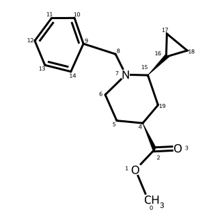 COC(=O)[C@H]1CCN(Cc2ccccc2)[C@@H](C2CC2)C1